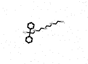 NCCNCCNCCNCC(N)(c1ccccc1)c1ccccc1